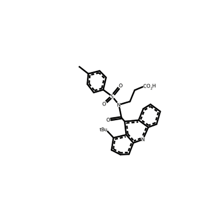 Cc1ccc(S(=O)(=O)N(CCC(=O)O)C(=O)c2c3ccccc3nc3cccc(C(C)(C)C)c23)cc1